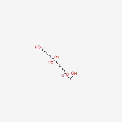 CC(CO)COC(=O)CCCCCCCC(O)C(O)CCCCCCO